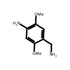 COc1cc(CN)c(OC)cc1N